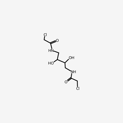 O=C(CCl)NCC(O)C(O)CNC(=O)CCl